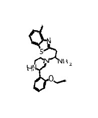 CCOc1ccccc1C1CN(C(N)Cc2nc3c(C)cccc3s2)CCN1